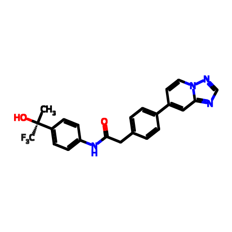 C[C@](O)(c1ccc(NC(=O)Cc2ccc(-c3ccn4ncnc4c3)cc2)cc1)C(F)(F)F